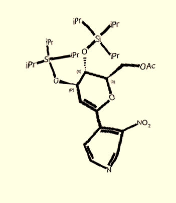 CC(=O)OC[C@H]1OC(c2ccncc2[N+](=O)[O-])=C[C@@H](O[Si](C(C)C)(C(C)C)C(C)C)[C@@H]1O[Si](C(C)C)(C(C)C)C(C)C